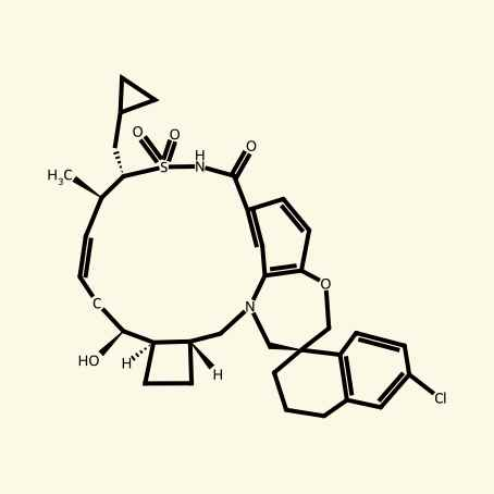 C[C@@H]1/C=C\C[C@H](O)[C@@H]2CC[C@H]2CN2C[C@@]3(CCCc4cc(Cl)ccc43)COc3ccc(cc32)C(=O)NS(=O)(=O)[C@H]1CC1CC1